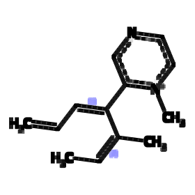 C=C/C=C(\C(C)=C/C)c1cncc[n+]1C